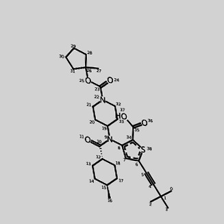 CC(C)(C)C#Cc1cc(N(C(=O)[C@H]2CC[C@H](C)CC2)C2CCN(C(=O)OC3(C)CCCC3)CC2)c(C(=O)O)s1